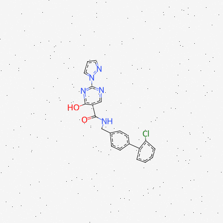 O=C(NCc1ccc(-c2ccccc2Cl)cc1)c1cnc(-n2cccn2)nc1O